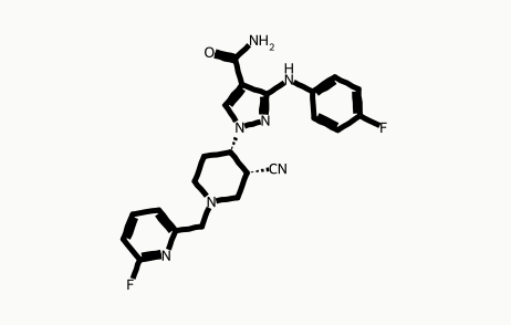 N#C[C@@H]1CN(Cc2cccc(F)n2)CC[C@@H]1n1cc(C(N)=O)c(Nc2ccc(F)cc2)n1